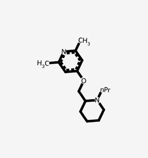 CCCN1CCCCC1COc1cc(C)nc(C)c1